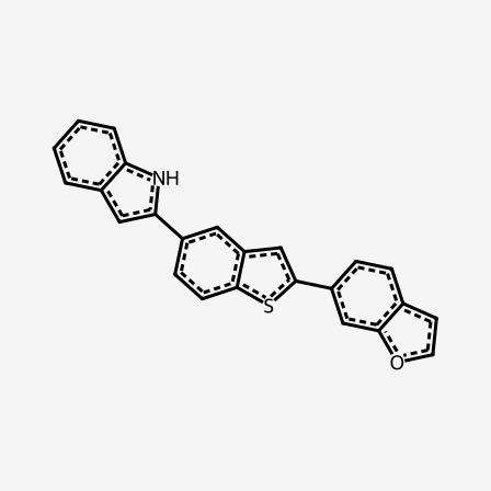 c1ccc2[nH]c(-c3ccc4sc(-c5ccc6ccoc6c5)cc4c3)cc2c1